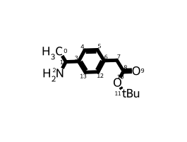 CC(N)c1ccc(CC(=O)OC(C)(C)C)cc1